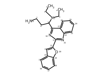 CCN(CC)C(CCN)c1nc(-c2cc3ccccc3o2)nc2ccccc12